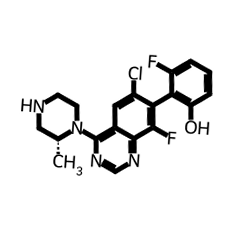 C[C@@H]1CNCCN1c1ncnc2c(F)c(-c3c(O)cccc3F)c(Cl)cc12